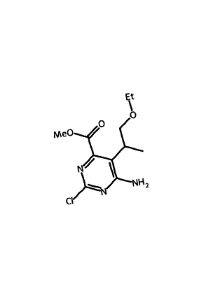 CCOCC(C)c1c(N)nc(Cl)nc1C(=O)OC